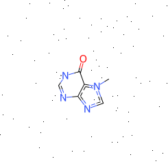 Cn1cnc2c1C(=O)[N]C=N2